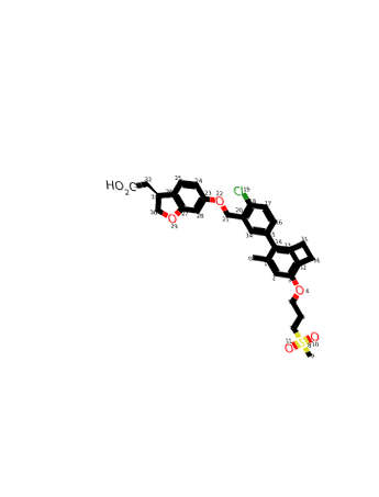 Cc1cc(OCCCS(C)(=O)=O)c2c(c1-c1ccc(Cl)c(COc3ccc4c(c3)OC[C@H]4CC(=O)O)c1)CC2